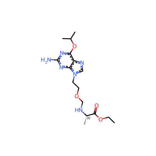 CCOC(=O)[C@H](C)NCOCCn1cnc2c(OC(C)C)nc(N)nc21